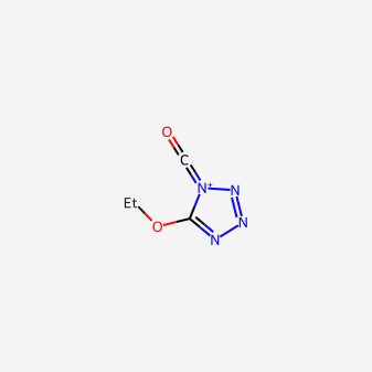 CCOC1=NN=N[N+]1=C=O